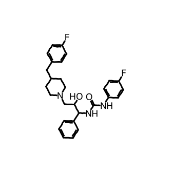 O=C(Nc1ccc(F)cc1)NC(c1ccccc1)C(O)CN1CCC(Cc2ccc(F)cc2)CC1